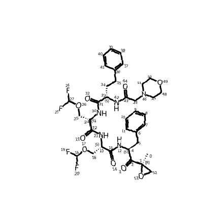 C[C@]1(C(=O)[C@H](Cc2ccccc2)NC(=O)[C@H](COC(F)F)NC(=O)[C@H](COC(F)F)NC(=O)[C@H](CCc2ccccc2)NC(=O)CN2CCOCC2)CO1